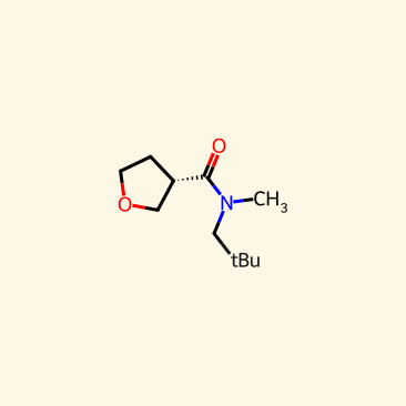 CN(CC(C)(C)C)C(=O)[C@H]1CCOC1